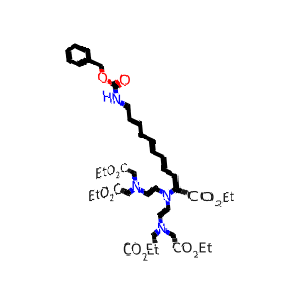 CCOC(=O)CN(CCN(CCN(CC(=O)OCC)CC(=O)OCC)C(CC=CC=CCCCCNC(=O)OCc1ccccc1)C(=O)OCC)CC(=O)OCC